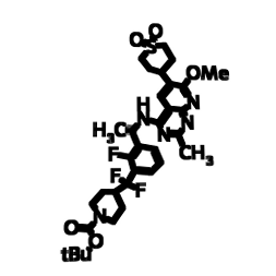 COc1nc2nc(C)nc(N[C@H](C)c3cccc(C(F)(F)C4CCN(C(=O)OC(C)(C)C)CC4)c3F)c2cc1C1CCS(=O)(=O)CC1